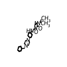 CCC(C)n1ncn(C(=O)Nc2ccc(N3CCN(Cc4ccccc4)CC3)cc2)c1=O